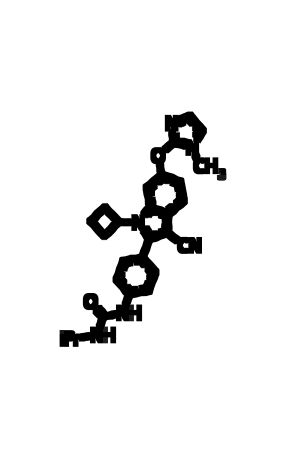 CC(C)NC(=O)Nc1ccc(-c2c(C#N)c3ccc(Oc4nccn4C)cc3n2C2CCC2)cc1